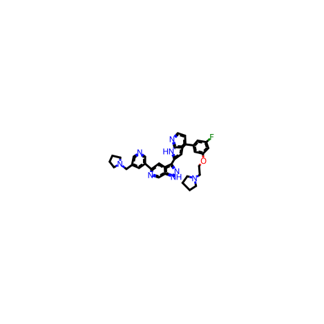 Fc1cc(OCCN2CCCC2)cc(-c2ccnc3[nH]c(-c4n[nH]c5cnc(-c6cncc(CN7CCCC7)c6)cc45)cc23)c1